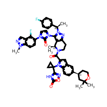 C[C@H](c1ccc(F)cc1)n1nc2c(c1-n1ccn(-c3ccc4c(cnn4C)c3F)c1=O)[C@H](C)N(C(=O)c1cc3cc([C@H]4CCOC(C)(C)C4)ccc3n1C1(c3noc(=O)[nH]3)CC1)CC2